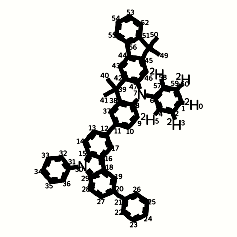 [2H]c1c([2H])c([2H])c(N2c3ccc(-c4ccc5c(c4)c4cc(-c6ccccc6)ccc4n5-c4ccccc4)cc3C(C)(C)c3cc4c(cc32)C(C)(C)c2ccccc2-4)c([2H])c1[2H]